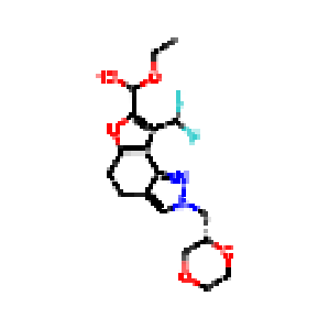 CCOC(O)c1oc2c(c1C(F)F)-c1nn(C[C@H]3COCCO3)cc1CC2